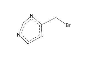 BrCc1[c]cncn1